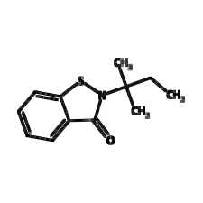 CCC(C)(C)n1sc2ccccc2c1=O